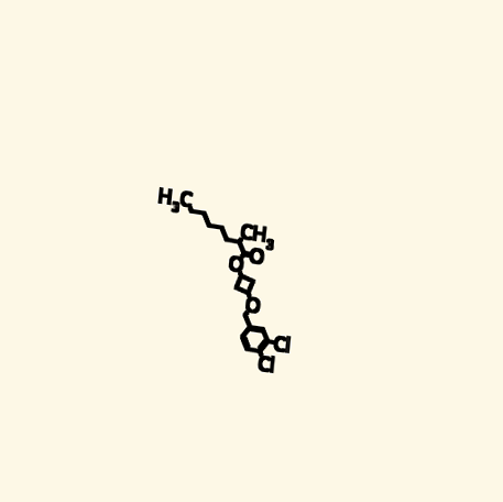 CCCCCCC(C)C(=O)OC1CC(OCc2ccc(Cl)c(Cl)c2)C1